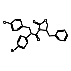 O=C1OCC(Cc2ccccc2)N1C(=O)C(Cc1ccc(Cl)cc1)c1ccc(Br)cc1